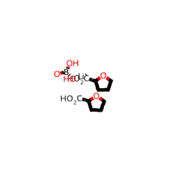 O=C(O)C1CCCO1.O=C(O)C1CCCO1.[Li+].[O-]B(O)O